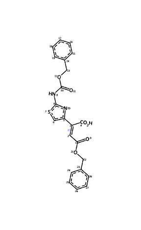 O=C(/C=C(\C(=O)O)c1csc(NC(=O)OCc2ccccc2)n1)OCc1ccccc1